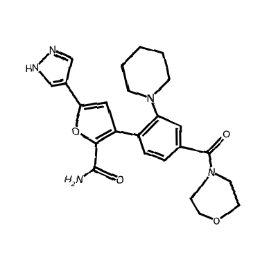 NC(=O)c1oc(-c2cn[nH]c2)cc1-c1ccc(C(=O)N2CCOCC2)cc1N1CCCCC1